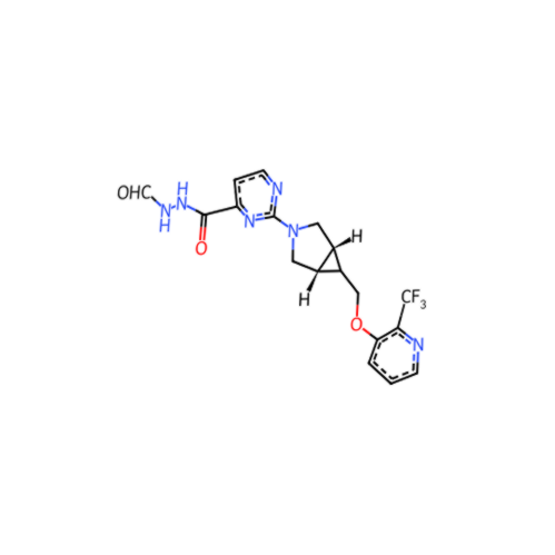 O=CNNC(=O)c1ccnc(N2C[C@@H]3C(COc4cccnc4C(F)(F)F)[C@@H]3C2)n1